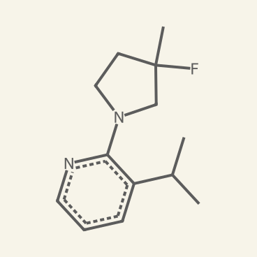 CC(C)c1cccnc1N1CCC(C)(F)C1